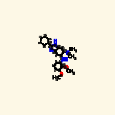 COc1cccc(Nc2cc3nc(C4CCCCC4)[nH]c3cc2N(C)C)c1OC